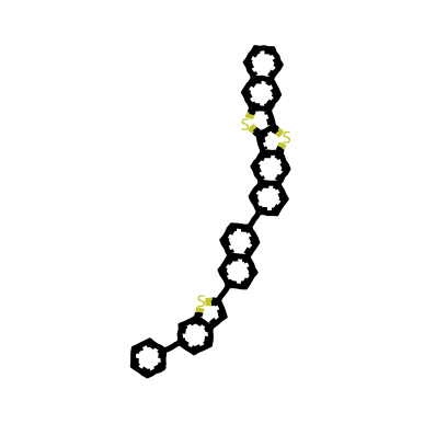 c1ccc(-c2ccc3cc(-c4ccc5cc(-c6ccc7cc8sc9c%10cc%11ccccc%11cc%10sc9c8cc7c6)ccc5c4)sc3c2)cc1